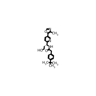 Cc1ncoc1-c1ccc([C@@H](CCO)NC(=O)Cc2ccc(C(C)(C)C)cc2)nc1